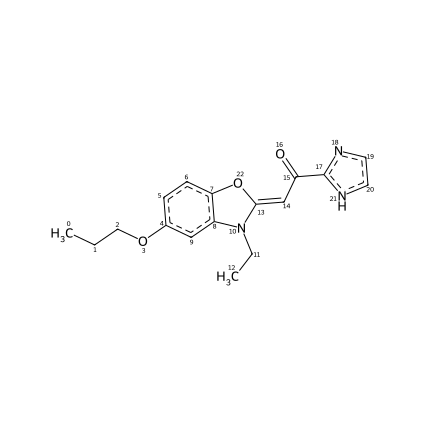 CCCOc1ccc2c(c1)N(CC)/C(=C/C(=O)c1ncc[nH]1)O2